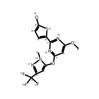 COc1cc(Oc2cc(C(F)(F)F)nn2C)nc(-c2ccc(Cl)s2)n1